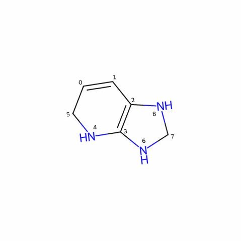 C1=CC2=C(NC1)NCN2